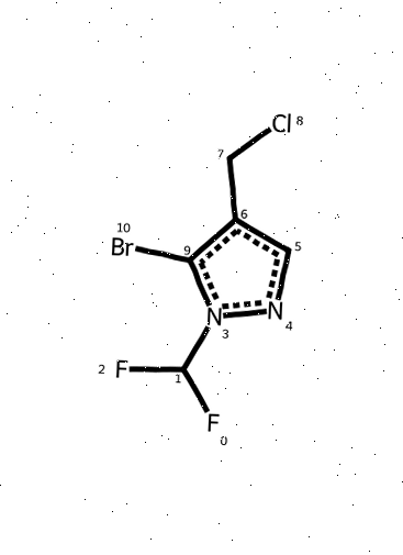 FC(F)n1ncc(CCl)c1Br